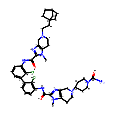 Cn1c(C(=O)Nc2cccc(-c3cccc(NC(=O)c4nc5c(n4C)CCN(C4CCN(C(N)=O)CC4)C5)c3Cl)c2Cl)nc2c1CCN(CCC13CCC(CC1)C3)C2